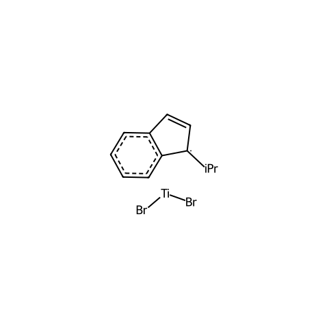 CC(C)[C]1C=Cc2ccccc21.[Br][Ti][Br]